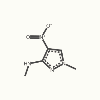 CNc1nn(C)cc1[N+](=O)[O-]